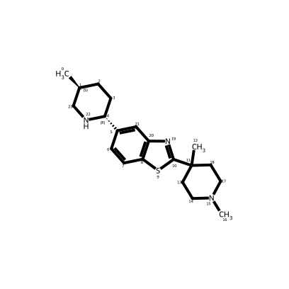 C[C@H]1CC[C@H](c2ccc3sc(C4(C)CCN(C)CC4)nc3c2)NC1